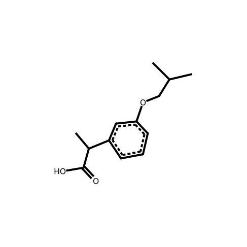 CC(C)COc1cccc(C(C)C(=O)O)c1